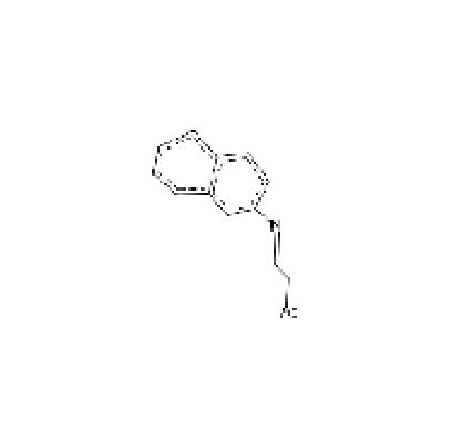 CC(=O)CC=Nc1ccc2ccccc2c1